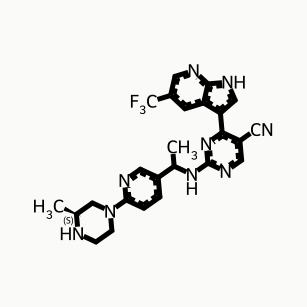 CC(Nc1ncc(C#N)c(-c2c[nH]c3ncc(C(F)(F)F)cc23)n1)c1ccc(N2CCN[C@@H](C)C2)nc1